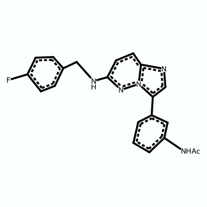 CC(=O)Nc1cccc(-c2cnc3ccc(NCc4ccc(F)cc4)nn23)c1